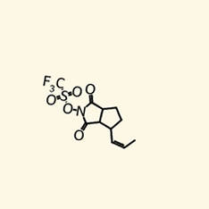 C/C=C\C1CCC2C(=O)N(OS(=O)(=O)C(F)(F)F)C(=O)C12